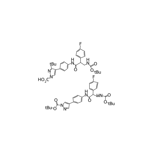 CC(C)(C)OC(=O)NCC(C(=O)Nc1ccc(-c2cn(C(=O)O)nc2C(C)(C)C)cc1)c1ccc(F)cc1.CC(C)(C)OC(=O)NCC(C(=O)Nc1ccc(-c2cnn(C(=O)OC(C)(C)C)c2)cc1)c1ccc(F)cc1